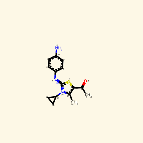 CC(=O)c1s/c(=N\c2ccc(N)cc2)n(C2CC2)c1C